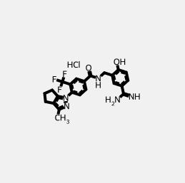 Cc1nn(-c2ccc(C(=O)NCc3cc(C(=N)N)ccc3O)cc2C(F)(F)F)c2c1CCC2.Cl